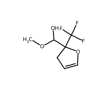 COC(O)C1(C(F)(F)F)CC=CO1